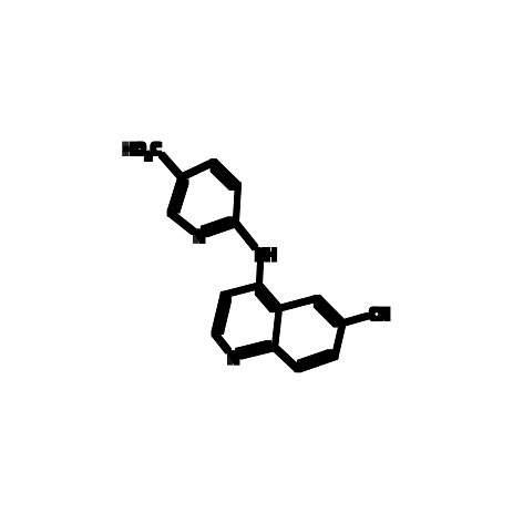 N#Cc1ccc2nccc(Nc3ccc(C(=O)O)cn3)c2c1